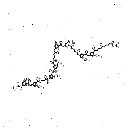 CC(=O)Nc1cc(C(=O)Nc2cc(C(=O)NCCC(=O)Nc3cc(C(=O)Nc4cc(C(=O)NCCCC(=O)Cc5cn(C)c(C(=O)Cc6cn(C)c(C(=O)CCCC(=O)Cc7cc(C(=O)Cc8cc(C(=O)CCCC(=O)CCCCN(C)C)n(C)c8)n(C)c7)n6)n5)n(C)c4)n(C)c3)n(C)c2)n(C)c1